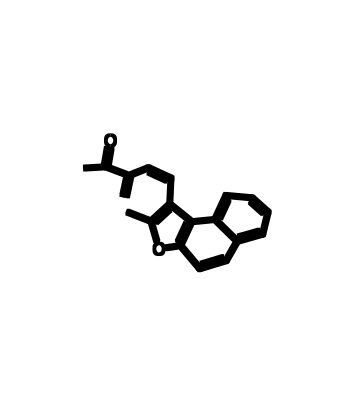 C=C(/C=C\c1c(C)oc2ccc3ccccc3c12)C(C)=O